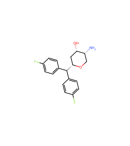 N[C@@H]1CO[C@H](C(c2ccc(F)cc2)c2ccc(F)cc2)C[C@@H]1O